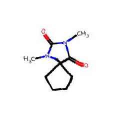 CN1C(=O)N(C)C2(CCCC2)C1=O